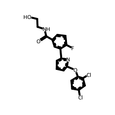 O=C(NCCO)c1ccc(F)c(-c2cccc(Oc3ccc(Cl)cc3Cl)n2)c1